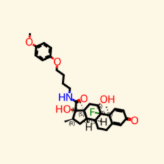 COc1ccc(OCCCCNC(=O)[C@@]2(O)[C@H](C)C[C@H]3[C@@H]4CCC5=CC(=O)C=C[C@]5(C)[C@@]4(F)[C@@H](O)C[C@@]32C)cc1